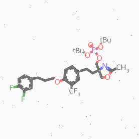 CC1=NC(CCc2ccc(OCCCc3ccc(F)c(F)c3)c(C(F)(F)F)c2)(COP(=O)(OC(C)(C)C)OC(C)(C)C)CO1